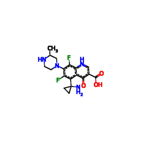 CC1CN(c2c(F)c(C3(N)CC3)c3c(=O)c(C(=O)O)c[nH]c3c2F)CCN1